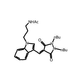 CCCCN1C(=O)C(=Cc2cn(CCCNC(C)=O)c3ccccc23)C(=O)N1CCCC